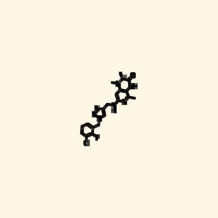 Cc1nc(NCc2cn(Cc3cccc(Cl)c3F)nn2)cc2c1NC(=O)[C@H](C)N2C